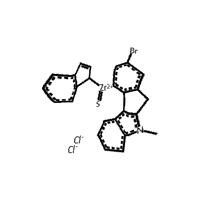 Cn1c2c(c3ccccc31)-c1c(cc(Br)c[c]1[Zr+2](=[S])[CH]1C=Cc3ccccc31)C2.[Cl-].[Cl-]